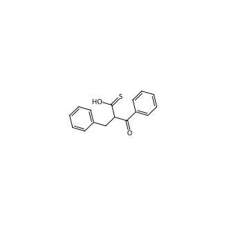 O=C(c1ccccc1)C(Cc1ccccc1)C(O)=S